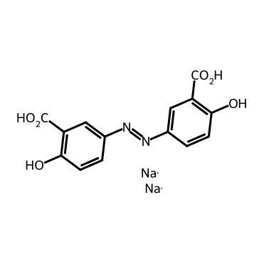 O=C(O)c1cc(N=Nc2ccc(O)c(C(=O)O)c2)ccc1O.[Na].[Na]